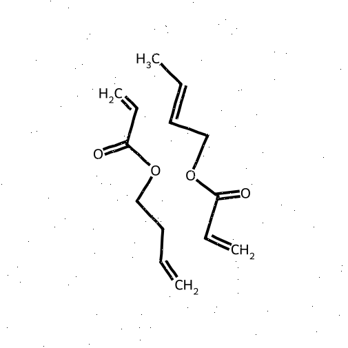 C=CC(=O)OCC=CC.C=CCCOC(=O)C=C